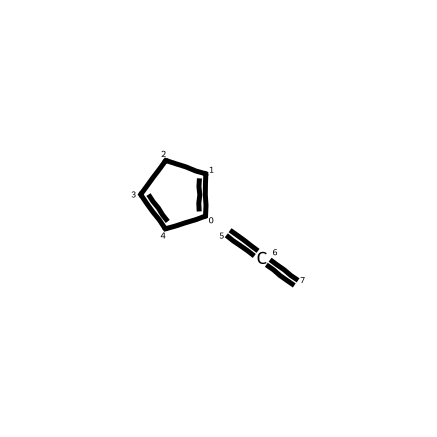 C1=CCC=C1.C=C=C